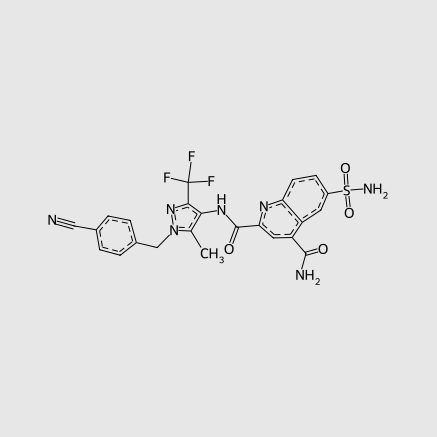 Cc1c(NC(=O)c2cc(C(N)=O)c3cc(S(N)(=O)=O)ccc3n2)c(C(F)(F)F)nn1Cc1ccc(C#N)cc1